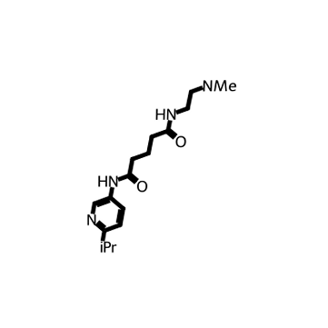 CNCCNC(=O)CCCC(=O)Nc1ccc(C(C)C)nc1